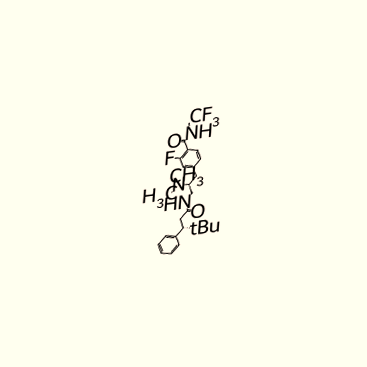 CN(C)[C@H](CNC(=O)C[C@@H](c1ccccc1)C(C)(C)C)Cc1ccc(C(=O)NCC(F)(F)F)c(F)c1